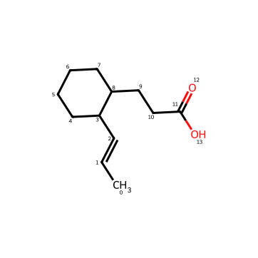 CC=CC1CCCCC1CCC(=O)O